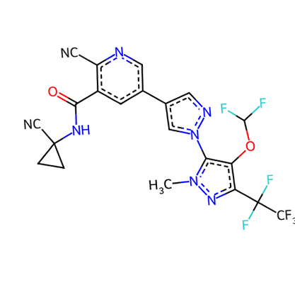 Cn1nc(C(F)(F)C(F)(F)F)c(OC(F)F)c1-n1cc(-c2cnc(C#N)c(C(=O)NC3(C#N)CC3)c2)cn1